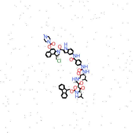 CC(C)C[C@H](NC(=O)Nc1ccc(C(=O)Nc2ccc3[nH]c(C(=O)N4C[C@@H](CCl)c5c4cc(OC(=O)N4CCN(C)CC4)c4ccccc54)cc3c2)cc1)C(=O)CN[C@@H](C)C(=O)CC(=O)[C@H](CC(C)C)NC(=O)OCC1c2ccccc2-c2ccccc21